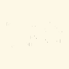 CS(=O)(=O)c1sc(NC(=O)c2cc(Br)cc(Br)c2O)nc1Cl